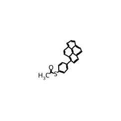 CC(=O)Sc1ccc(-c2ccc3ccc4cccc5ccc2c3c45)cc1